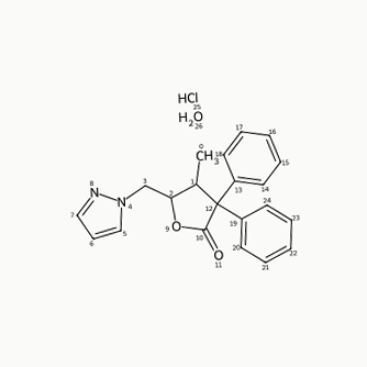 CC1C(Cn2cccn2)OC(=O)C1(c1ccccc1)c1ccccc1.Cl.O